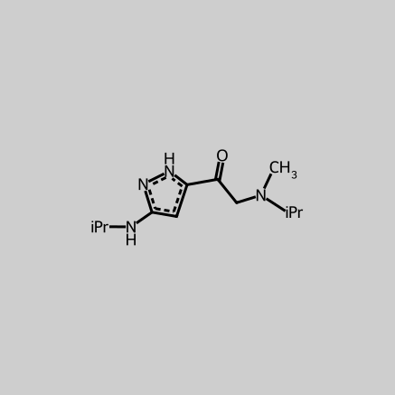 CC(C)Nc1cc(C(=O)CN(C)C(C)C)[nH]n1